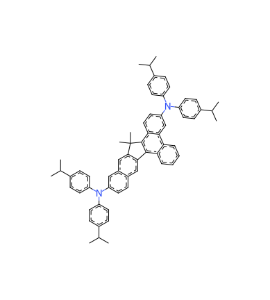 CC(C)c1ccc(N(c2ccc(C(C)C)cc2)c2ccc3cc4c(cc3c2)C(C)(C)c2c-4c3ccccc3c3cc(N(c4ccc(C(C)C)cc4)c4ccc(C(C)C)cc4)ccc23)cc1